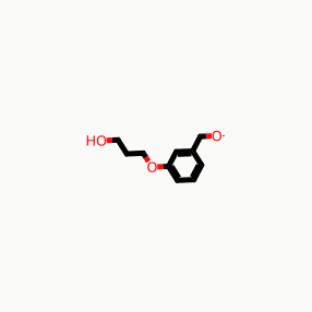 [O]Cc1cccc(OCCCO)c1